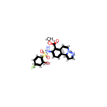 COC(=O)c1c(NS(=O)(=O)c2ccc(F)cc2Br)ccc2c1ccn1nccc21